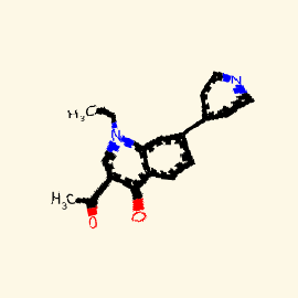 CCn1cc(C(C)=O)c(=O)c2ccc(-c3ccncc3)cc21